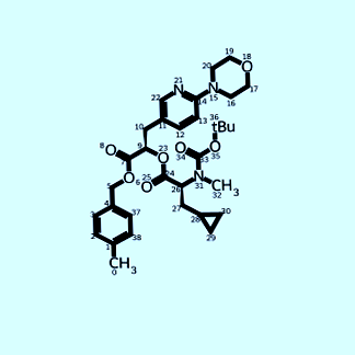 Cc1ccc(COC(=O)[C@@H](Cc2ccc(N3CCOCC3)nc2)OC(=O)[C@H](CC2CC2)N(C)C(=O)OC(C)(C)C)cc1